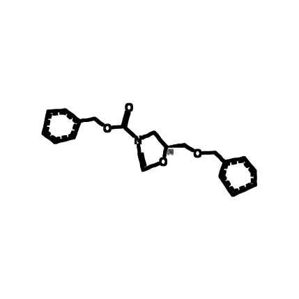 O=C(OCc1ccccc1)N1C=CO[C@H](COCc2ccccc2)C1